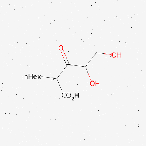 CCCCCCC(C(=O)O)C(=O)C(O)CO